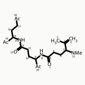 C=C(C)C(CCC(=O)NC(CCC(=O)NC(CCC(C)=O)C(C)=O)C(C)=O)NC